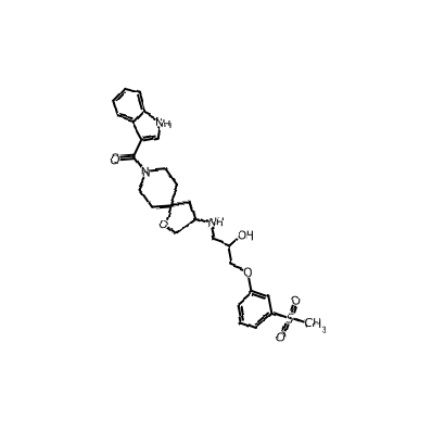 CS(=O)(=O)c1cccc(OCC(O)CNC2COC3(CCN(C(=O)c4c[nH]c5ccccc45)CC3)C2)c1